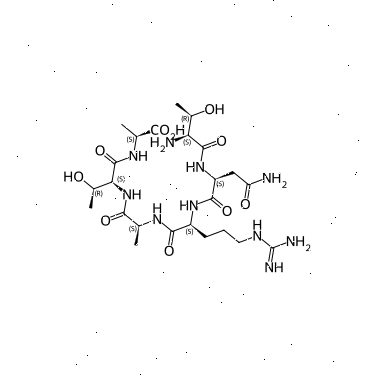 C[C@H](NC(=O)[C@@H](NC(=O)[C@H](C)NC(=O)[C@H](CCCNC(=N)N)NC(=O)[C@H](CC(N)=O)NC(=O)[C@@H](N)[C@@H](C)O)[C@@H](C)O)C(=O)O